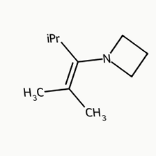 CC(C)=C(C(C)C)N1CCC1